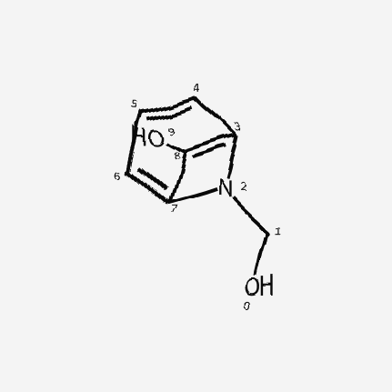 OCN1c2cccc1c2O